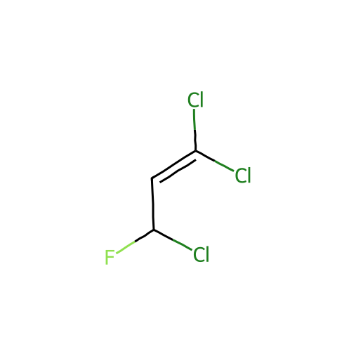 FC(Cl)C=C(Cl)Cl